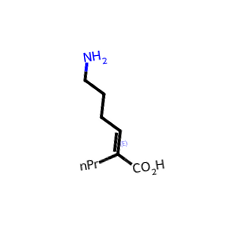 CCC/C(=C\CCCN)C(=O)O